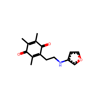 CC1=C(C)C(=O)C(CCNc2ccoc2)=C(C)C1=O